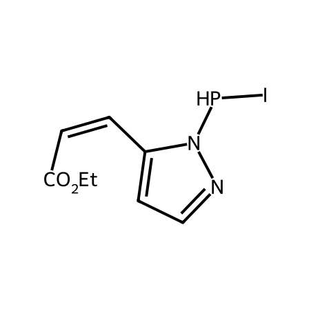 CCOC(=O)/C=C\c1ccnn1PI